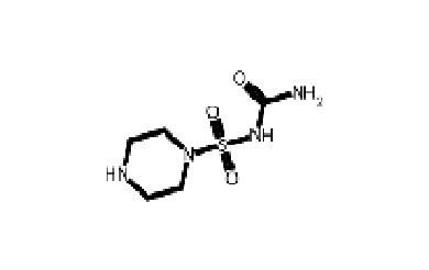 NC(=O)NS(=O)(=O)N1CCNCC1